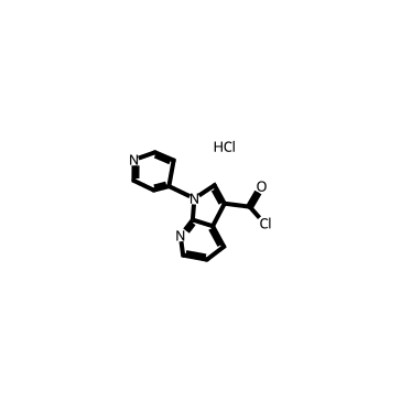 Cl.O=C(Cl)c1cn(-c2ccncc2)c2ncccc12